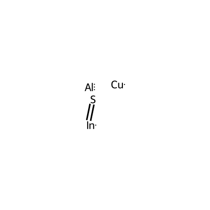 [Al].[Cu].[S]=[In]